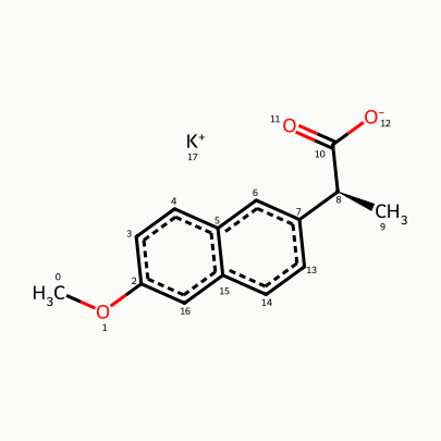 COc1ccc2cc([C@H](C)C(=O)[O-])ccc2c1.[K+]